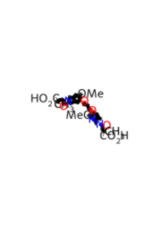 COc1cc2c(cc1OCCCOc1cc3c(nc1OC)CN(C(=O)C[C@H](C)C(=O)O)C3)CN(C(=O)C[C@H](C)C(=O)O)C2